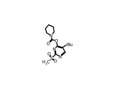 CC(C)(C)c1cnc(S(C)(=O)=O)nc1OC(=O)N1CCCCC1